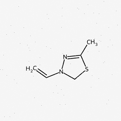 C=CN1CSC(C)=N1